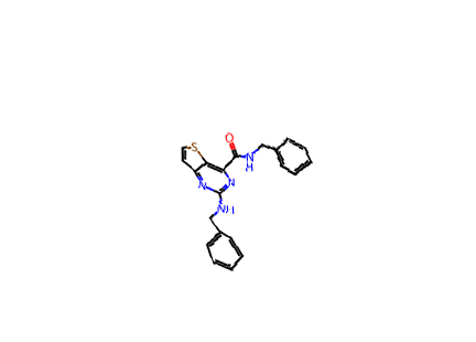 O=C(NCc1ccccc1)c1nc(NCc2ccccc2)nc2ccsc12